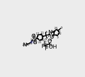 Cc1ccc2oc(C(C)(C)c3ccc(S(=O)(=O)/C=C/C#N)cc3)nc2c1.O=C(O)C(F)(F)F